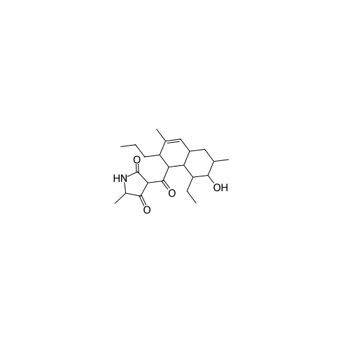 CCCC1C(C)=CC2CC(C)C(O)C(CC)C2C1C(=O)C1C(=O)NC(C)C1=O